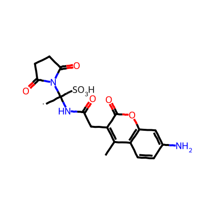 [CH2]C(NC(=O)Cc1c(C)c2ccc(N)cc2oc1=O)(N1C(=O)CCC1=O)S(=O)(=O)O